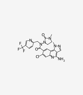 CN1CCN(N(Cc2ccc(C(F)(F)F)cn2)C(=O)c2cc3c(cc2Cl)nc(N)c2cnn(C)c23)C1=O